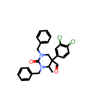 CC1N(Cc2ccccc2)C(=O)N(Cc2ccccc2)CC1(C=O)c1ccc(Cl)c(Cl)c1